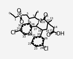 CCS(=O)(=O)CCC(C)N1C(=O)C(C)(CC(=O)O)CC(c2cccc(Cl)c2)C1c1ccc(Cl)cn1